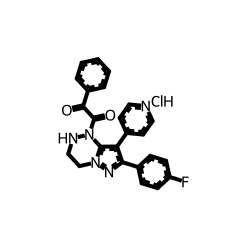 Cl.O=C(C(=O)N1NCCn2nc(-c3ccc(F)cc3)c(-c3ccncc3)c21)c1ccccc1